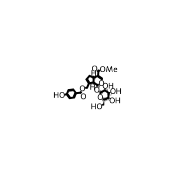 COC(=O)C1=CO[C@@H](O[C@@H]2O[C@H](CO)[C@@H](O)[C@H](O)[C@H]2O)[C@@H]2C(COC(=O)c3ccc(O)cc3)=CC[C@H]12